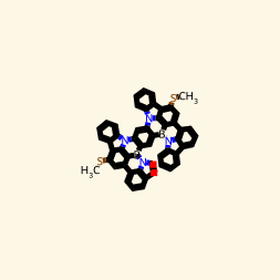 CSc1cc2c3c4c1c1ccccc1n4-c1cc4c(cc1B3n1c3ccccc3c3cccc-2c31)B1c2c(cc(SC)c3c5ccccc5n-4c23)-c2cccc3c4ccccc4n1c23